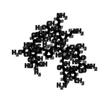 CC[C@H](C)[C@H](NC(=O)CNC(=O)[C@H](CCCCN)NC(=O)[C@H](CC(C)C)NC(=O)[C@H](CC(N)=O)NC(=O)[C@@H](N)CC(C)C)C(=O)N[C@@H](Cc1ccccc1)C(=O)N[C@@H](CCCCN)C(=O)N[C@@H](CCCCN)C(=O)N[C@H](C(=O)N[C@@H](C)C(=O)N[C@@H](CO)C(=O)N[C@@H](CC(C)C)C(=O)N[C@@H](CC(C)C)C(=O)N[C@H](C(=O)O)[C@@H](C)O)C(C)C